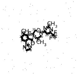 Cc1ccc(-n2nccn2)c(C(=O)N2[C@H](C)CON(c3cc(C(F)(F)F)nc(C)n3)C[C@@H]2C)c1